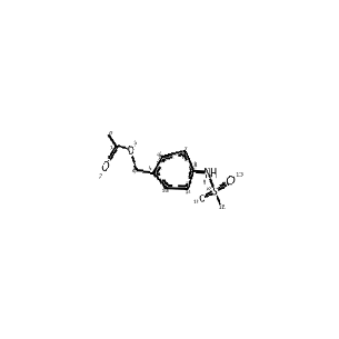 CC(=O)OCc1ccc(NS(C)(=O)=O)cc1